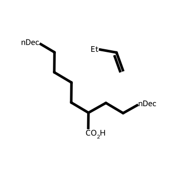 C=CCC.CCCCCCCCCCCCCCC(CCCCCCCCCCCC)C(=O)O